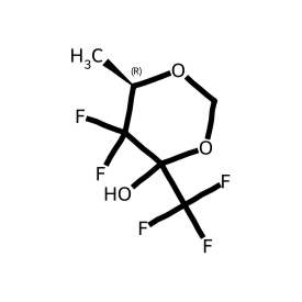 C[C@H]1OCOC(O)(C(F)(F)F)C1(F)F